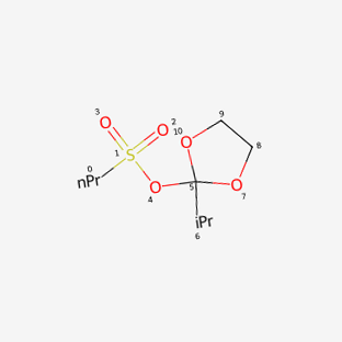 CCCS(=O)(=O)OC1(C(C)C)OCCO1